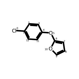 Clc1ccc(Oc2ccco2)cc1